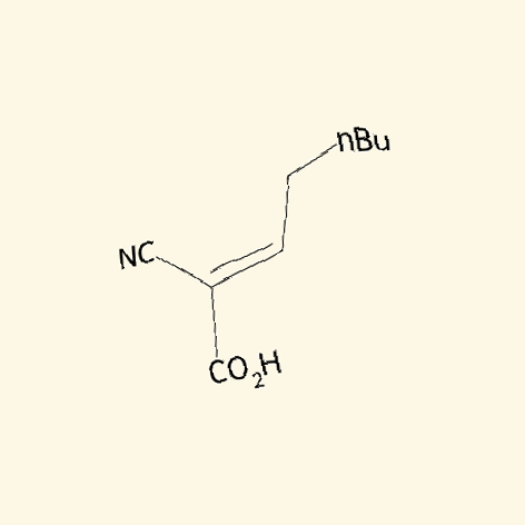 CCCCC/C=C(\C#N)C(=O)O